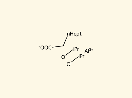 CC(C)[O-].CC(C)[O-].CCCCCCCCC(=O)[O-].[Al+3]